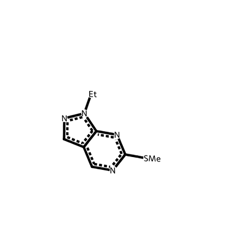 CCn1ncc2cnc(SC)nc21